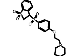 O=S1(=O)CC(S(=O)(=O)c2ccc(OCCN3CCCCC3)cc2)c2ccccc21